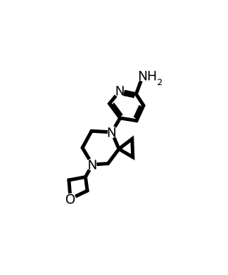 Nc1ccc(N2CCN(C3COC3)CC23CC3)cn1